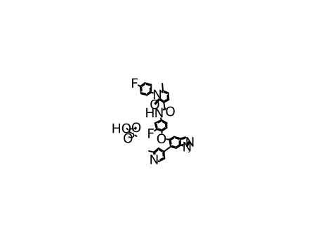 CS(=O)(=O)O.Cc1cc(-c2cc3c(cnn3C)cc2Oc2ccc(NC(=O)c3ccc(C)n(-c4ccc(F)cc4)c3=O)cc2F)ccn1